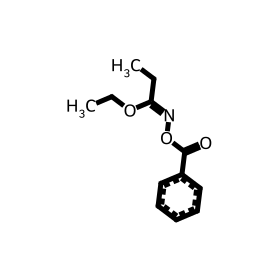 CCOC(CC)=NOC(=O)c1ccccc1